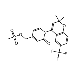 CC1(C)C=C(n2ccc(COS(C)(=O)=O)cc2=O)c2cc(C(F)(F)F)ccc2O1